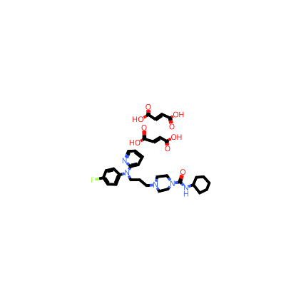 O=C(NC1CCCCC1)N1CCN(CCCN(c2ccc(F)cc2)c2ccccn2)CC1.O=C(O)C=CC(=O)O.O=C(O)C=CC(=O)O